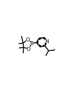 CC(C)c1cc(B2OC(C)(C)C(C)(C)O2)ccn1